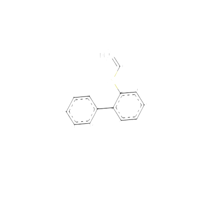 C=CSc1ccccc1-c1ccccc1